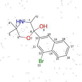 CC1NC(C)(C)COC1(O)c1cc(Br)c2ccccc2c1